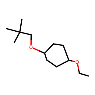 CCOC1CCC(OCC(C)(C)C)CC1